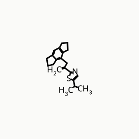 C=C(Cc1c2c(cc3c1CCC3)CCC2)c1ncc(C(C)C)s1